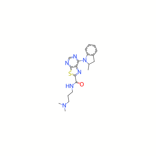 CC1Cc2ccccc2N1c1ncnc2sc(C(=O)NCCCN(C)C)nc12